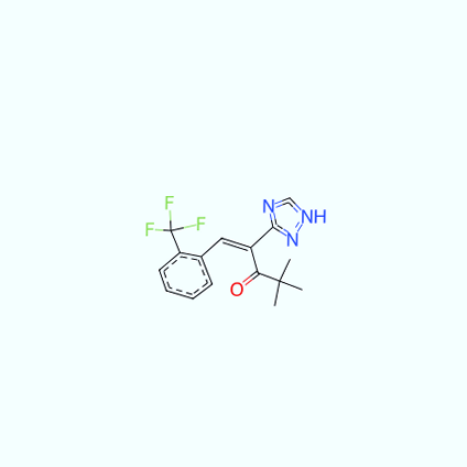 CC(C)(C)C(=O)C(=Cc1ccccc1C(F)(F)F)c1nc[nH]n1